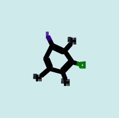 [2H]c1cc(I)c([2H])c(Cl)c1[2H]